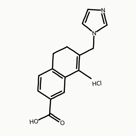 CC1=C(Cn2ccnc2)CCc2ccc(C(=O)O)cc21.Cl